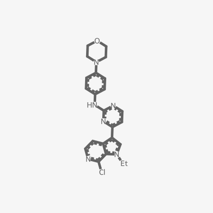 CCn1cc(-c2ccnc(Nc3ccc(N4CCOCC4)cc3)n2)c2ccnc(Cl)c21